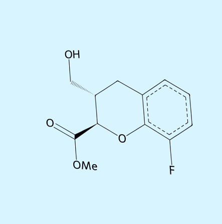 COC(=O)[C@@H]1Oc2c(F)cccc2C[C@H]1CO